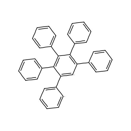 [c]1ccccc1-c1[c]c(-c2ccccc2)c(-c2ccccc2)c(-c2ccccc2)c1-c1ccccc1